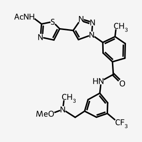 CON(C)Cc1cc(NC(=O)c2ccc(C)c(-n3cc(-c4cnc(NC(C)=O)s4)nn3)c2)cc(C(F)(F)F)c1